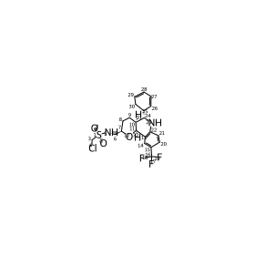 O=S(=O)(CCl)NC[C@H]1CC[C@@H]2[C@H](O1)c1cc(C(F)(F)F)ccc1N[C@H]2C1C=CC=CC1